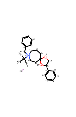 [2H]C([2H])([2H])[N+]1(Cc2ccccc2)CCCC2(CC1)OC[C@@H](c1ccccc1)O2.[I-]